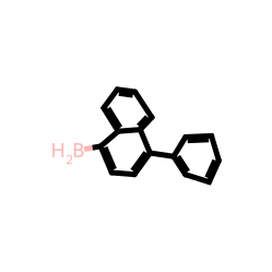 Bc1ccc(-c2ccccc2)c2ccccc12